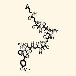 CCCCCCCC[C@H](NC(=O)[C@@H]1CCCN1C(=O)c1ccc(OC)cc1)C(=O)NCC(=O)NC(C)(C)C(=O)NCC(=O)N[C@@H](CC(C)C)C(=O)NC(C)(C)C(=O)NC(C)(C)C(=O)NCCC(=O)NCCN(C)C